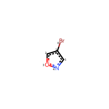 Brc1[c]onc1